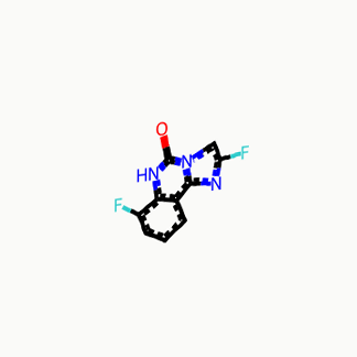 O=c1[nH]c2c(F)cccc2c2nc(F)cn12